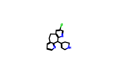 Clc1cnc2c(c1)CCc1cccnc1C2C1=CCNCC1